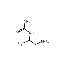 CC(=O)NCC(C)NC(N)=O